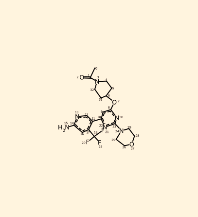 CC(=O)N1CCC(Oc2cc(-c3cnc(N)cc3C(F)(F)F)nc(N3CCOCC3)n2)CC1